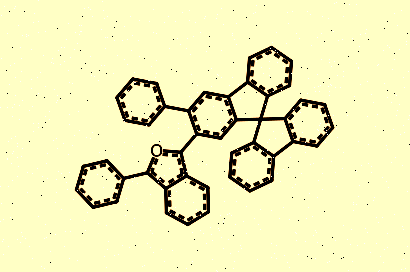 c1ccc(-c2cc3c(cc2-c2oc(-c4ccccc4)c4ccccc24)C2(c4ccccc4-c4ccccc42)c2ccccc2-3)cc1